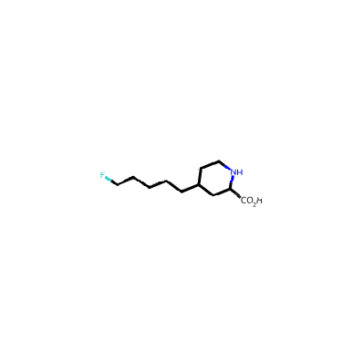 O=C(O)C1CC(CCCCCF)CCN1